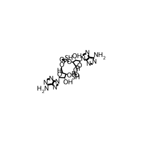 Nc1ncnc2c1ncn2[C@@H]1O[C@@H]2O[P@](=O)(S)OC3[C@@H](CO[P@](=O)(S)OC2[C@@H]1O)O[C@@H](n1cnc2c(N)ncnc21)[C@H]3O